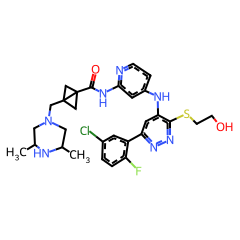 CC1CN(CC23CC2(C(=O)Nc2cc(Nc4cc(-c5cc(Cl)ccc5F)nnc4SCCO)ccn2)C3)CC(C)N1